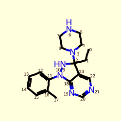 CCC1(N2CCNCC2)NN(c2ccccc2C)c2ncncc21